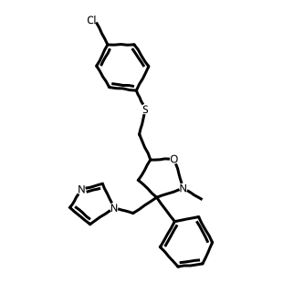 CN1OC(CSc2ccc(Cl)cc2)CC1(Cn1ccnc1)c1ccccc1